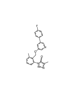 Cc1cccc(-n2nnn(C)c2=O)c1COc1cncc(-c2ccc(F)cc2)c1